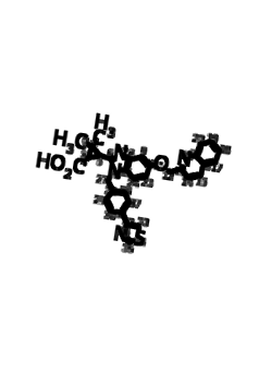 CC1(C)C(C(=O)O)C1c1nc2cc(OCc3ccc4ccccc4n3)ccc2n1Cc1ccc(-c2cscn2)cc1